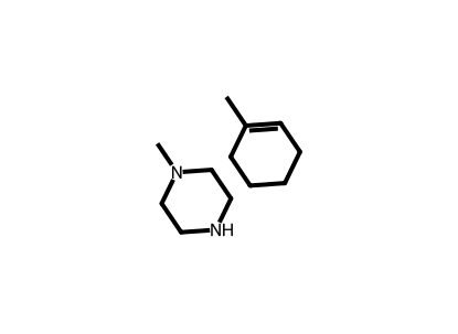 CC1=CCCCC1.CN1CCNCC1